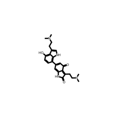 CN(C)CCC1=C2C(=O)C=C(c3ccc(O)c4c(CCN(C)C)c[nH]c34)C=C2NC1=O